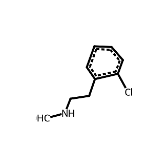 [CH]NCCc1ccccc1Cl